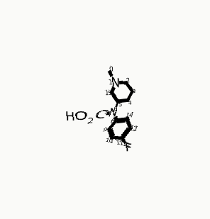 CN1CCC[C@@H](N(C(=O)O)c2ccc(F)cc2)C1